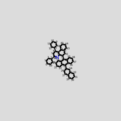 c1ccc(-c2cc(-c3ccccc3)c3c(n2)c(-c2c4ccccc4c(-c4ccc5ccccc5c4)c4ccccc24)cc2ccccc23)cc1